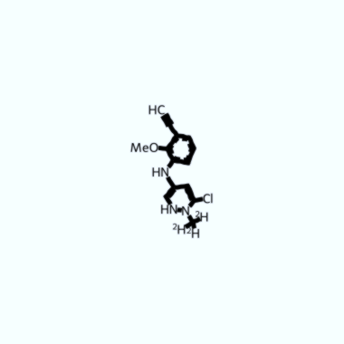 [2H]C([2H])([2H])N1NC=C(Nc2cccc(C#C)c2OC)C=C1Cl